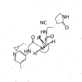 Cc1cncc(N[C@H](CC2CC2)C(=O)N2[C@H]3CC[C@@H]([C@H]2C(=O)N[C@H](C#N)C[C@@H]2CCNC2=O)C(F)(F)C3)c1